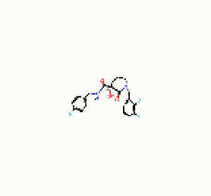 O=C(NCc1ccc(F)cc1)[C@]1(O)CCCN(Cc2cccc(F)c2F)C1=O